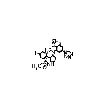 CCS(=O)(=O)NC1CCC(N(C)c2cc(-n3cnnn3)ccc2OC)C1c1ccc(F)cc1